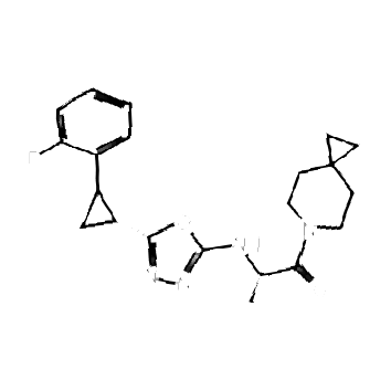 C[C@@H](Nc1nnc([C@@H]2CC2c2ccccc2F)o1)C(=O)N1CCC2(CC1)CC2